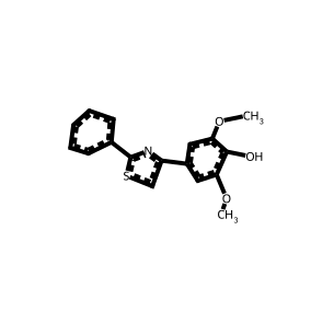 COc1cc(-c2csc(-c3ccccc3)n2)cc(OC)c1O